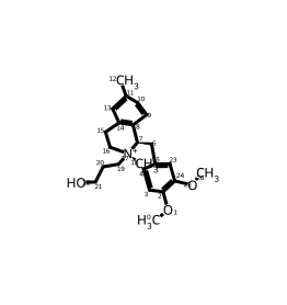 COc1ccc(C[C@@H]2c3ccc(C)cc3CC[N@@+]2(C)CCCO)cc1OC